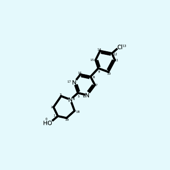 OC1CCN(c2ncc(-c3ccc(Cl)cc3)cn2)CC1